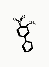 Cc1cc(C2C=CC=CC2)ccc1[N+](=O)[O-]